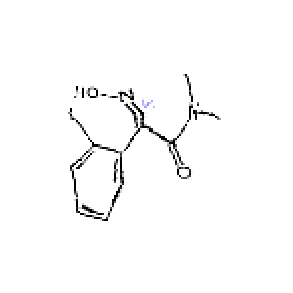 CN(C)C(=O)/C(=N/O)c1ccccc1I